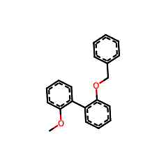 COc1ccccc1-c1ccccc1OCc1ccccc1